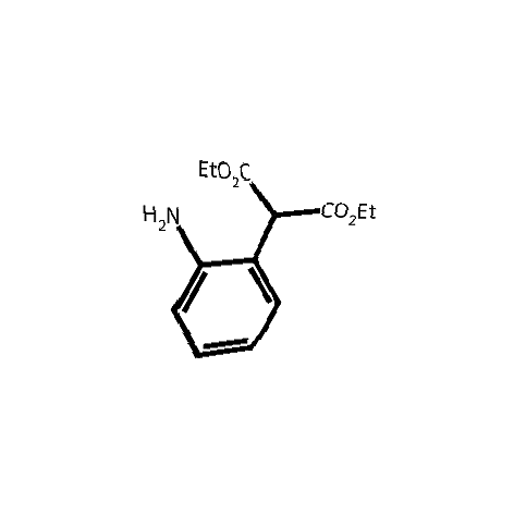 CCOC(=O)C(C(=O)OCC)c1ccccc1N